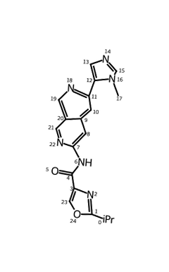 CC(C)c1nc(C(=O)Nc2cc3cc(-c4cncn4C)ncc3cn2)co1